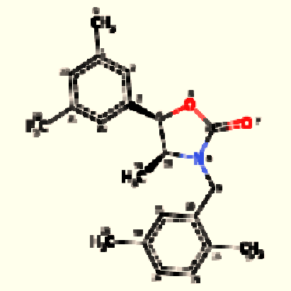 Cc1cc([C@H]2OC(=O)N(Cc3cc(C)ccc3C)[C@H]2C)cc(C(F)(F)F)c1